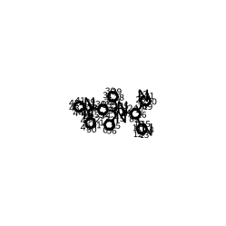 c1ccc(-c2nc(-c3cc(-c4cccnc4)cc(-c4cccnc4)c3)nc(-c3ccccc3)c2-c2ccc(-c3nc4ccccc4n3-c3ccccc3)cc2)cc1